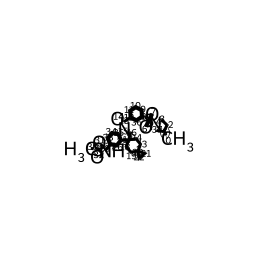 C[C@H]1CCN(S(=O)(=O)c2cccc(C(=O)N3CC4(CCC5(CC5)CC4)c4cc(NS(C)(=O)=O)ccc43)c2)C1